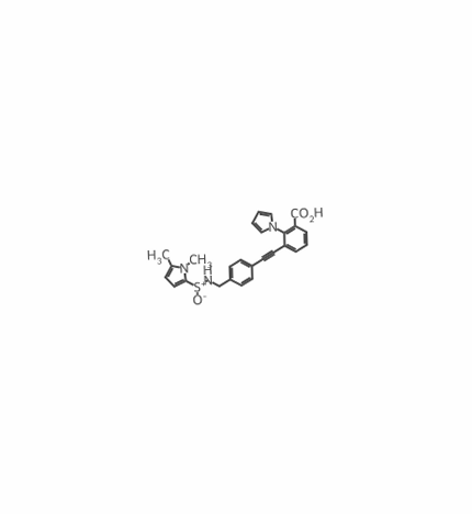 Cc1ccc([S+]([O-])NCc2ccc(C#Cc3cccc(C(=O)O)c3-n3cccc3)cc2)n1C